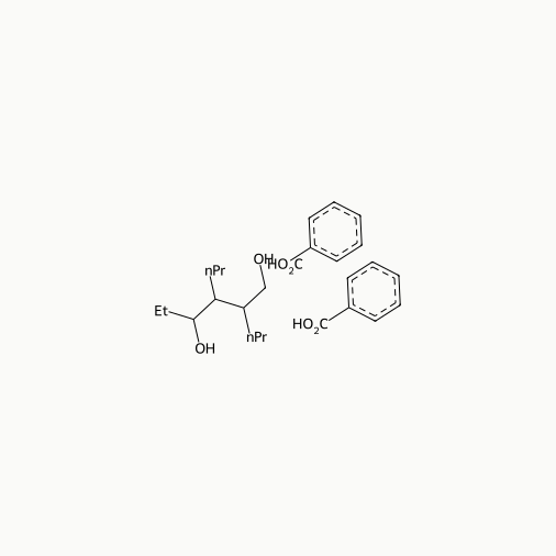 CCCC(CO)C(CCC)C(O)CC.O=C(O)c1ccccc1.O=C(O)c1ccccc1